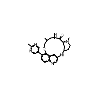 Cc1ncc(-c2ccc3ncc4cc3c2OCC(F)CNC(=O)C2(C)CC(CCN2C)N4)cn1